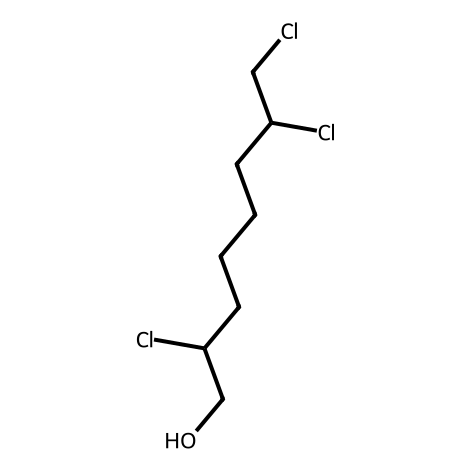 OCC(Cl)CCCCC(Cl)CCl